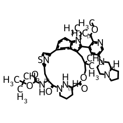 CCn1c(-c2cc(N3CCN4CCC[C@@H]4C3)cnc2[C@H](C)OC)c2c3cc(ccc31)-c1csc(n1)C[C@H](NC(=O)OC(C)(C)C)C(=O)N1CCC[C@H](N1)C(=O)OCC(C)(C)C2